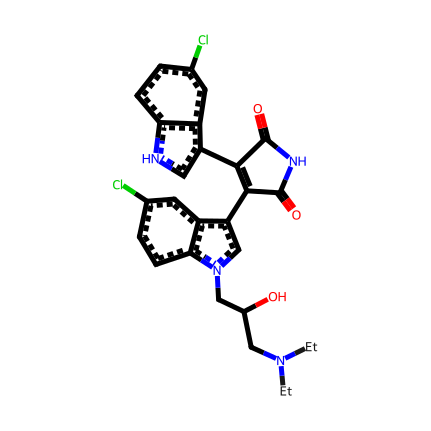 CCN(CC)CC(O)Cn1cc(C2=C(c3c[nH]c4ccc(Cl)cc34)C(=O)NC2=O)c2cc(Cl)ccc21